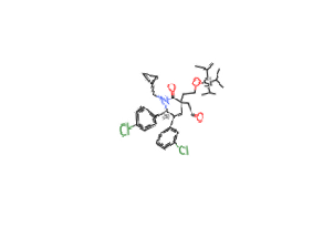 CC(C)[Si](OCCC1(CC=O)CC(c2cccc(Cl)c2)[C@@H](c2ccc(Cl)cc2)N(CC2CC2)C1=O)(C(C)C)C(C)C